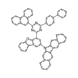 c1ccc(-c2ccc(-c3nc(-c4cc5ccccc5c5ccccc45)nc(-c4cc(-n5c6cc7ccccc7cc6c6cc7ccccc7cc65)cc5c4oc4ccccc45)n3)cc2)cc1